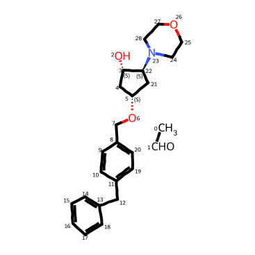 CC=O.O[C@H]1C[C@@H](OCc2ccc(Cc3ccccc3)cc2)C[C@@H]1N1CCOCC1